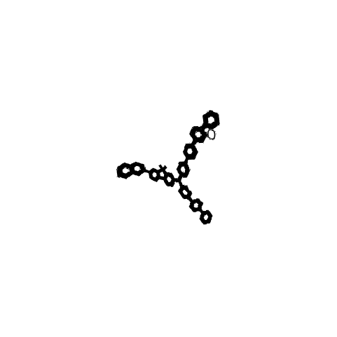 CC1(C)c2cc(-c3ccc4ccccc4c3)ccc2-c2ccc(C(c3ccc(-c4ccc(-c5ccccc5)cc4)cc3)c3ccc(-c4ccc(-c5ccc6c(c5)oc5ccccc56)cc4)cc3)cc21